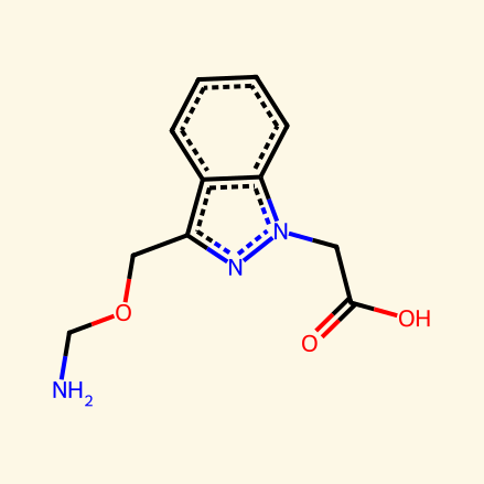 NCOCc1nn(CC(=O)O)c2ccccc12